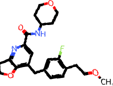 COCCc1ccc(Cc2cc(C(=O)NC3CCOCC3)nc3c2OCC3)cc1F